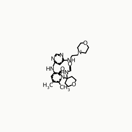 Cc1cc(Nc2cc(NCCN3CCOCC3)ncn2)c(=O)n(C2(NC=O)CCOCC2)c1C